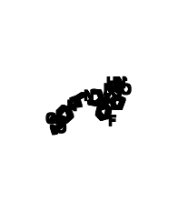 C=CS(=O)(=O)c1ccc(N2CC(CN3CCC(C(C#N)(c4cccc(F)c4)C4CCCC4OC(=O)NC)CC3)C2)cc1